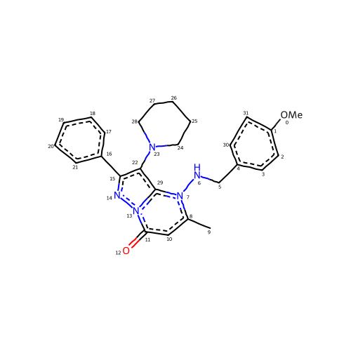 COc1ccc(CNn2c(C)cc(=O)n3nc(-c4ccccc4)c(N4CCCCC4)c23)cc1